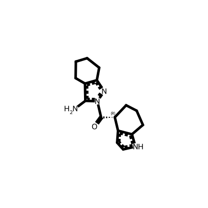 Nc1c2c(nn1C(=O)[C@@H]1CCCc3[nH]ccc31)CCCC2